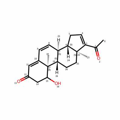 CC(=O)C1=CC[C@H]2[C@@H]3C=CC4=CC(=O)CC(O)[C@]4(C)[C@H]3CC[C@]12C